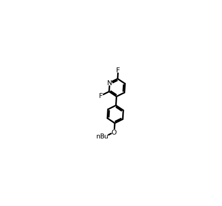 CCCCOc1ccc(-c2ccc(F)nc2F)cc1